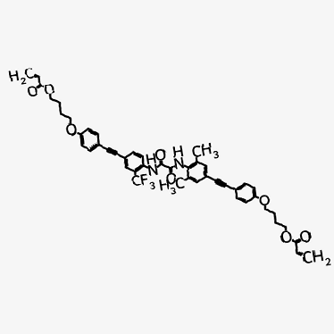 C=CC(=O)OCCCCOc1ccc(C#Cc2cc(C)c(NC(=O)C(=O)Nc3ccc(C#Cc4ccc(OCCCCOC(=O)C=C)cc4)cc3C(F)(F)F)c(C)c2)cc1